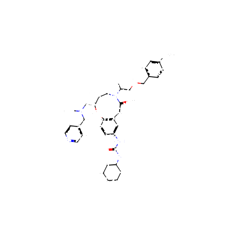 COc1ccc(COCC(C)N2C[C@@H](C)[C@H](CN(C)Cc3ccncc3)Oc3ccc(NC(=O)NC4CCCCC4)cc3CC2=O)cc1